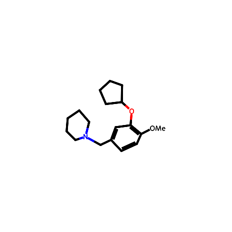 COc1ccc(CN2CCCCC2)cc1OC1CCCC1